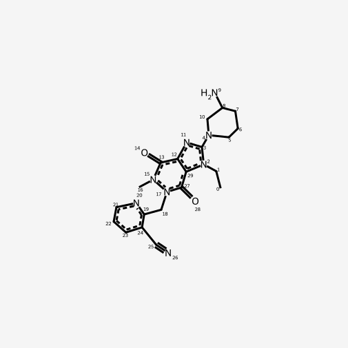 CCn1c(N2CCCC(N)C2)nc2c(=O)n(C)n(Cc3ncccc3C#N)c(=O)c21